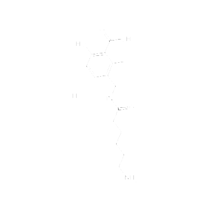 Cl.NCCCCCC(=O)NCc1ccc(O)c(C(=O)O)c1O